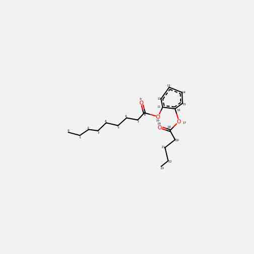 CCCCCCCCC(=O)Oc1ccccc1OC(=O)CCCC